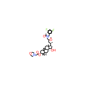 COC(C[C@@H](C)[C@H]1C[C@H](O)[C@@]2(C)C3CC[C@H]4C(C)(C)C(OC(=O)CN5CCOCC5)CCC45CC35CCC12C)CN(Cc1cc(F)cc(F)c1)C(C)=O